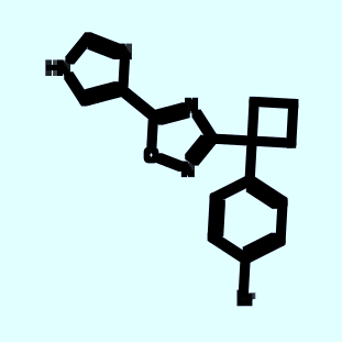 Brc1ccc(C2(c3noc(-c4c[nH]cn4)n3)CCC2)cc1